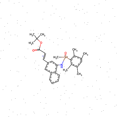 Cc1cc(C)c(C)c([SH](C)(=O)Nc2cc(/C=C/C(=O)OC(C)(C)C)cc3ccccc23)c1C